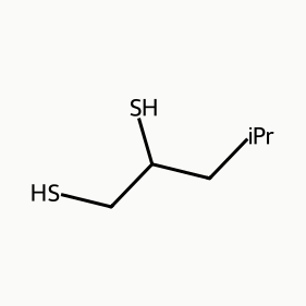 CC(C)CC(S)CS